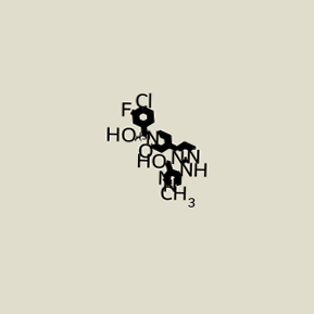 Cn1cc(Nc2nccc(-c3ccn([C@H](CO)c4ccc(Cl)c(F)c4)c(=O)c3)n2)c(CO)n1